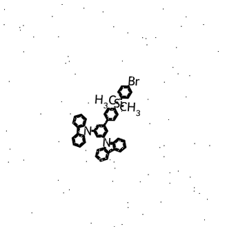 C[Si](C)(c1ccc(Br)cc1)c1ccc(-c2cc(-n3c4ccccc4c4ccccc43)cc(-n3c4ccccc4c4ccccc43)c2)cc1